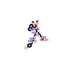 CCOC(OCC)[C@@H](C)C(NC(=O)[C@H](CCCCNC(=O)O)NC(=O)CONC(=O)NCc1ccc(Cl)cc1)c1cccc2cccnc12